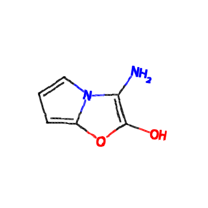 Nc1c(O)oc2cccn12